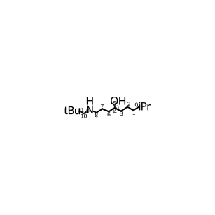 CC(C)CCC[C@H](O)CCCNCC(C)(C)C